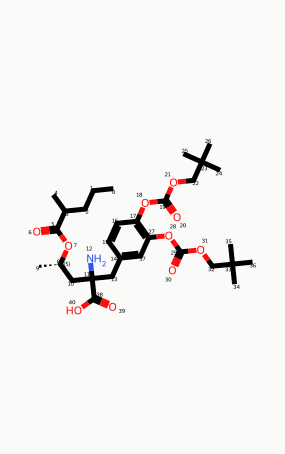 CCCC(C)C(=O)O[C@@H](C)CC(N)(Cc1ccc(OC(=O)OCC(C)(C)C)c(OC(=O)OCC(C)(C)C)c1)C(=O)O